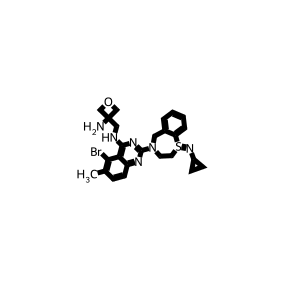 Cc1ccc2nc(N3CCS(=NC4CC4)c4ccccc4C3)nc(NCC3(N)COC3)c2c1Br